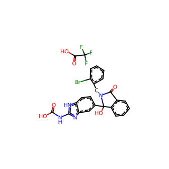 O=C(O)C(F)(F)F.O=C(O)Nc1nc2cc(C3(O)c4ccccc4C(=O)N3Cc3ccccc3Br)ccc2[nH]1